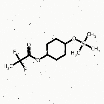 CC(F)(F)C(=O)OC1CCC(O[Si](C)(C)C)CC1